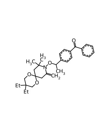 C=C1CC2(CC(C)(C)N1OC(C)c1ccc(C(=O)c3ccccc3)cc1)OCC(CC)(CC)CO2